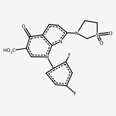 O=C(O)c1cn(-c2ccc(F)cc2F)c2nc(N3CCS(=O)(=O)C3)ccc2c1=O